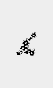 CC(C)(C)OC(=O)N1CCC(c2ccc(OCCO[Si](C)(C)C(C)(C)C)cc2)=C(C(=O)N(Cc2ccccc2Cl)C2CC2)C1